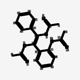 CC(=O)OC(=C(OC(C)=O)c1ccccc1OC(C)=O)c1ccccc1